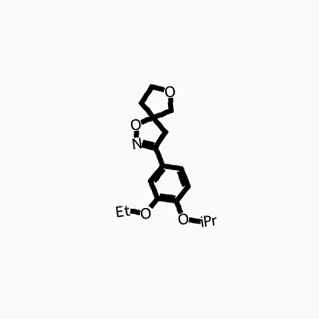 CCOc1cc(C2=NOC3(CCOC3)C2)ccc1OC(C)C